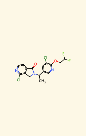 CC(c1cnc(OCC(F)F)c(Cl)c1)N1Cc2c(ccnc2Cl)C1=O